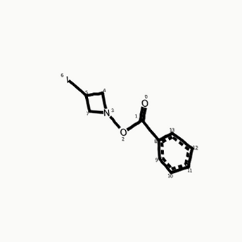 O=C(ON1CC(I)C1)c1ccccc1